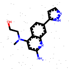 CN(CCO)c1cc(N)nc2cc(-c3ccn[nH]3)ccc12